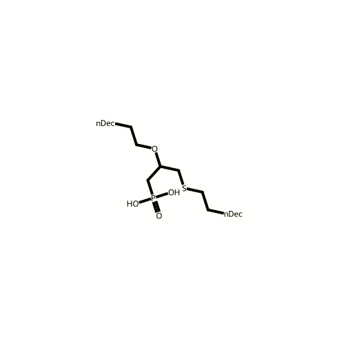 CCCCCCCCCCCCOC(CSCCCCCCCCCCCC)CP(=O)(O)O